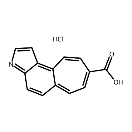 Cl.O=C(O)c1ccc2ccc3nccc3c2cc1